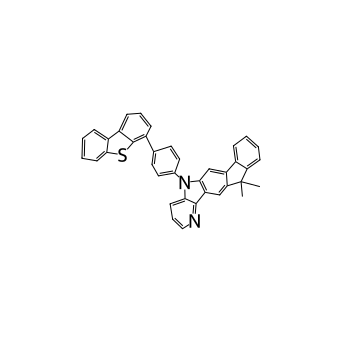 CC1(C)c2ccccc2-c2cc3c(cc21)c1ncccc1n3-c1ccc(-c2cccc3c2sc2ccccc23)cc1